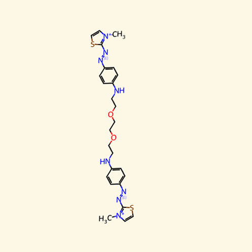 C[n+]1ccsc1/N=N/c1ccc(NCCOCCOCCNc2ccc(/N=N/c3scc[n+]3C)cc2)cc1